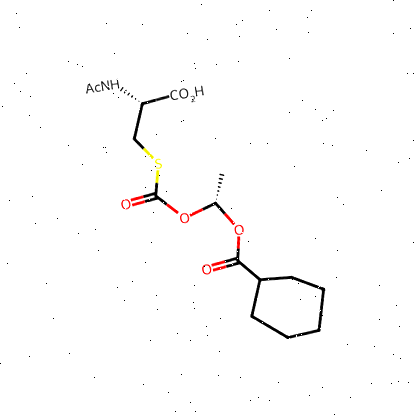 CC(=O)N[C@@H](CSC(=O)O[C@H](C)OC(=O)C1CCCCC1)C(=O)O